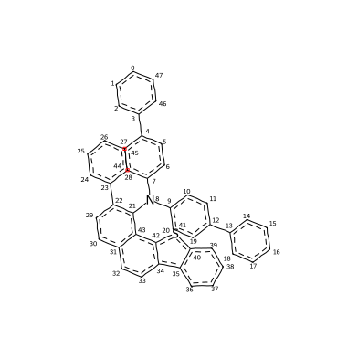 c1ccc(-c2ccc(N(c3ccc(-c4ccccc4)cc3)c3c(-c4ccccc4)ccc4ccc5c6ccccc6sc5c34)cc2)cc1